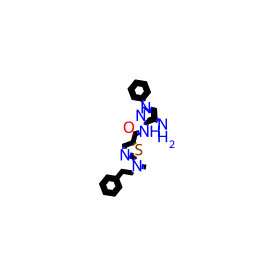 CN(CCc1ccccc1)C1=NCC(C(=O)Nc2nn(-c3ccccc3)cc2N)S1